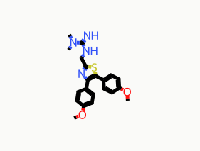 COc1ccc(-c2nc(CNC(=N)N(C)C)sc2-c2ccc(OC)cc2)cc1